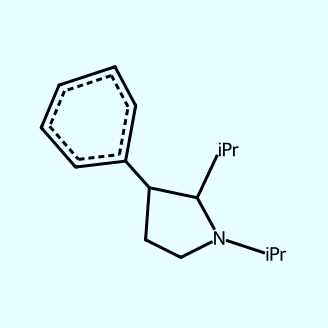 CC(C)C1C(c2ccccc2)CCN1C(C)C